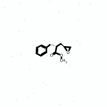 COC(=O)[C@H](Cc1ccccc1)C[C@H]1CO1